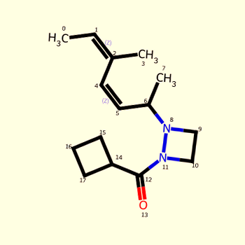 C/C=C(C)\C=C/C(C)N1CCN1C(=O)C1CCC1